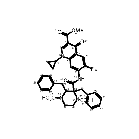 COC(=O)c1cn(C2CC2)c2cc(NC(=O)C3(Cc4ccccc4)C(Cc4ccccc4)N(C(=O)O)CCN3C(=O)O)c(F)cc2c1=O